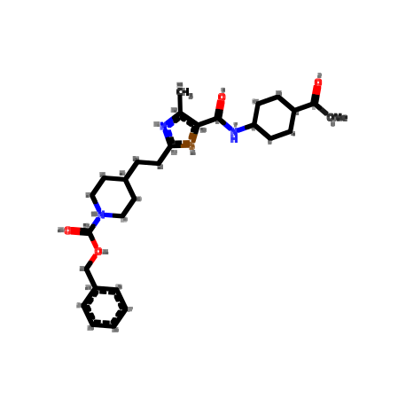 COC(=O)C1CCC(NC(=O)c2sc(CCC3CCN(C(=O)OCc4ccccc4)CC3)nc2C)CC1